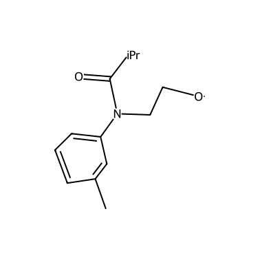 Cc1cccc(N(CC[O])C(=O)C(C)C)c1